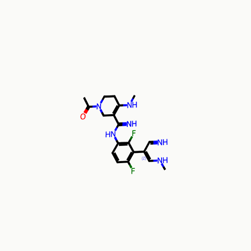 CN/C=C(\C=N)c1c(F)ccc(NC(=N)C2=C(NC)CCN(C(C)=O)C2)c1F